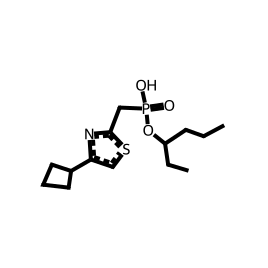 CCCC(CC)OP(=O)(O)Cc1nc(C2CCC2)cs1